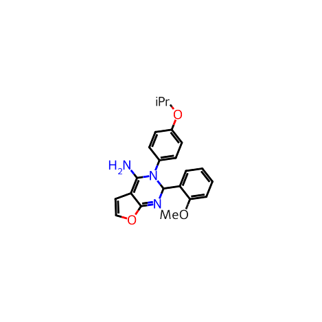 COc1ccccc1C1N=c2occc2=C(N)N1c1ccc(OC(C)C)cc1